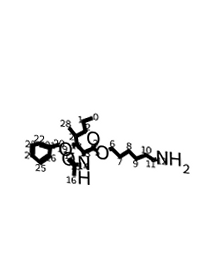 CCC1OC(OCCCCCCN)C(NC(C)=O)C(OCc2ccccc2)C1C